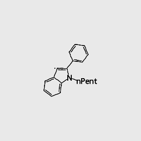 CCCCCn1c(-c2ccccc2)[c]c2ccccc21